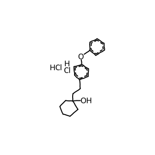 Cl.Cl.OC1(CCc2ccc(Oc3ccccc3)cc2)CCCCC1